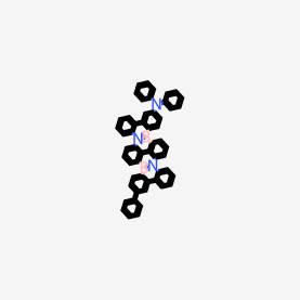 c1ccc(-c2ccc3c(c2)-c2ccccc2N2B3c3cccc4c3-c3c(cccc32)B2c3ccc(N(c5ccccc5)c5ccccc5)cc3-c3ccccc3N24)cc1